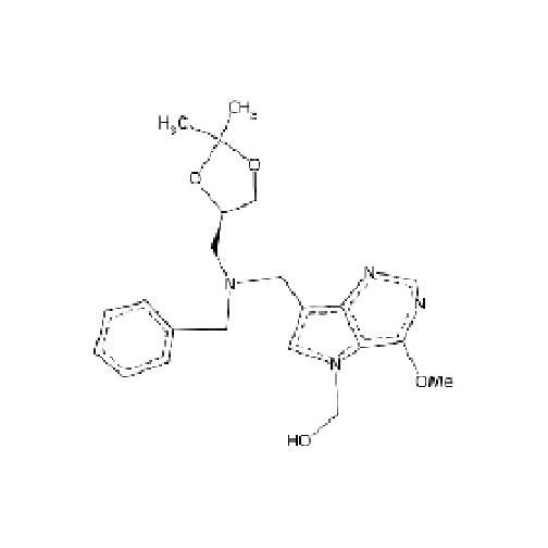 COc1ncnc2c(CN(Cc3ccccc3)C[C@@H]3COC(C)(C)O3)cn(CO)c12